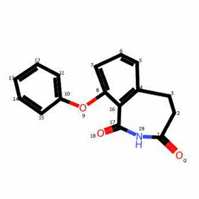 O=C1CCc2cccc(Oc3ccccc3)c2C(=O)N1